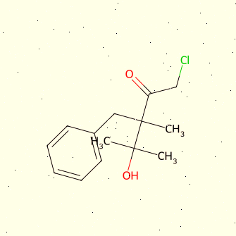 CC(C)(O)C(C)(Cc1ccccc1)C(=O)CCl